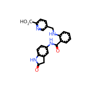 O=C1Cc2cc(NC(=O)c3ccccc3NCc3ccc(C(=O)O)nc3)ccc2N1